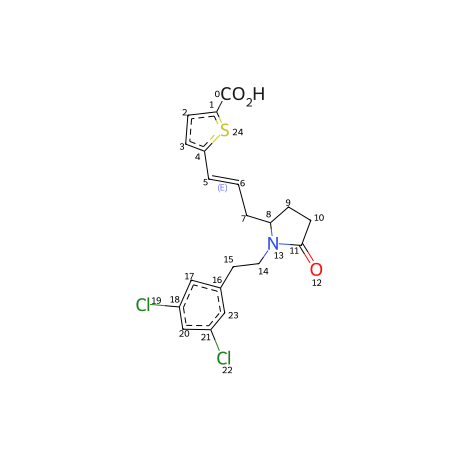 O=C(O)c1ccc(/C=C/CC2CCC(=O)N2CCc2cc(Cl)cc(Cl)c2)s1